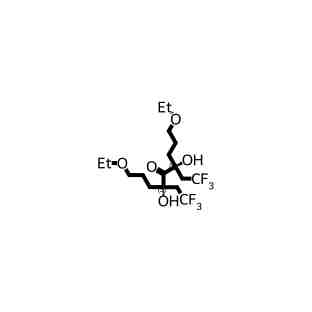 CCOCCC[C@](O)(CC(F)(F)F)C(=O)[C@](O)(CCCOCC)CC(F)(F)F